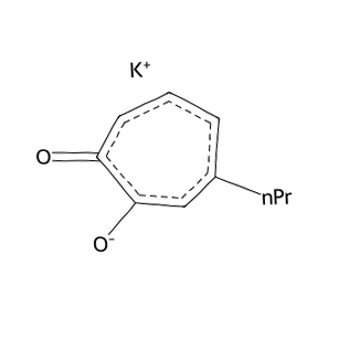 CCCc1cccc(=O)c([O-])c1.[K+]